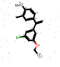 C=C(c1cc(Br)cc(OCC(F)(F)F)c1)c1ccc(OC)c(C)c1